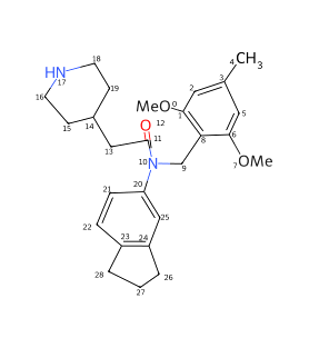 COc1cc(C)cc(OC)c1CN(C(=O)CC1CCNCC1)c1ccc2c(c1)CCC2